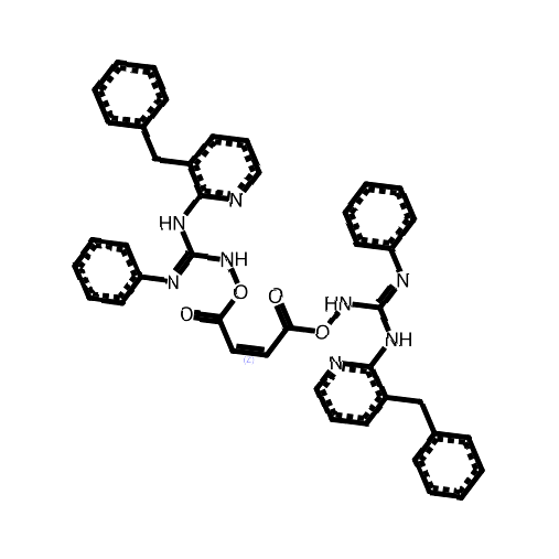 O=C(/C=C\C(=O)ONC(=Nc1ccccc1)Nc1ncccc1Cc1ccccc1)ONC(=Nc1ccccc1)Nc1ncccc1Cc1ccccc1